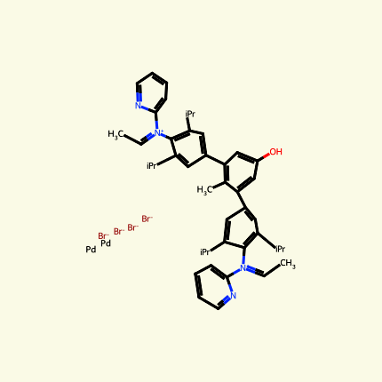 CC=[N+](c1ccccn1)c1c(C(C)C)cc(-c2cc(O)cc(-c3cc(C(C)C)c([N+](=CC)c4ccccn4)c(C(C)C)c3)c2C)cc1C(C)C.[Br-].[Br-].[Br-].[Br-].[Pd].[Pd]